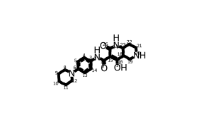 O=C(Nc1ccc(N2CCCCC2)cc1)C1=C(O)C2CNCCC2NC1=O